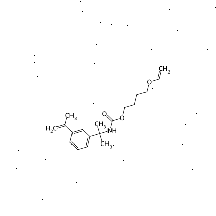 C=COCCCCOC(=O)NC(C)(C)c1cccc(C(=C)C)c1